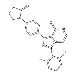 O=C1CCCN1c1ccc(-c2nn(-c3c(F)cccc3F)c3cc[nH]c(=O)c23)cc1